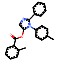 Cc1ccc(-n2c(OC(=O)c3ccccc3C)cnc2-c2ccccc2)cc1